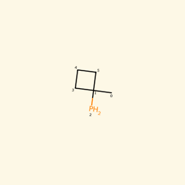 CC1(P)CCC1